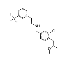 COC(C)Cc1ccc(CNCCc2cccc(C(F)(F)F)c2)cc1Cl